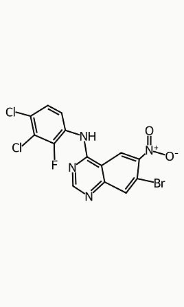 O=[N+]([O-])c1cc2c(Nc3ccc(Cl)c(Cl)c3F)ncnc2cc1Br